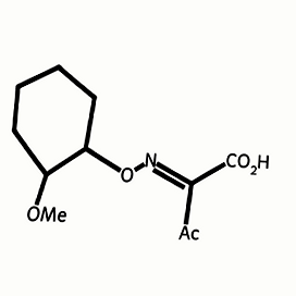 COC1CCCCC1O/N=C(\C(C)=O)C(=O)O